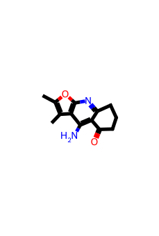 Cc1oc2nc3c(c(N)c2c1C)C(=O)CCC3